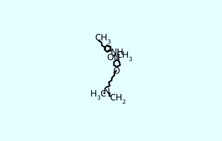 C=CCN(C)CCCCCCCO[C@H]1CC[C@H](N(C)C(=O)Nc2ccc(CCCC)cc2)CC1